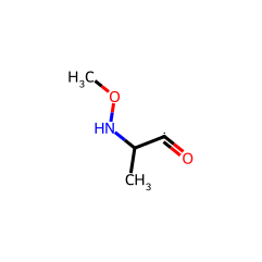 CONC(C)[C]=O